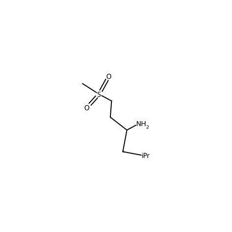 CC(C)CC(N)CCS(C)(=O)=O